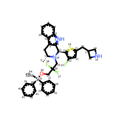 C[C@@H]1Cc2c([nH]c3ccccc23)[C@@H](c2sc(CC3CNC3)cc2F)N1CC(F)(F)CO[Si](c1ccccc1)(c1ccccc1)C(C)(C)C